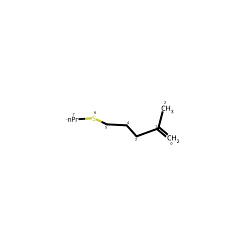 C=C(C)CCCS[CH]CC